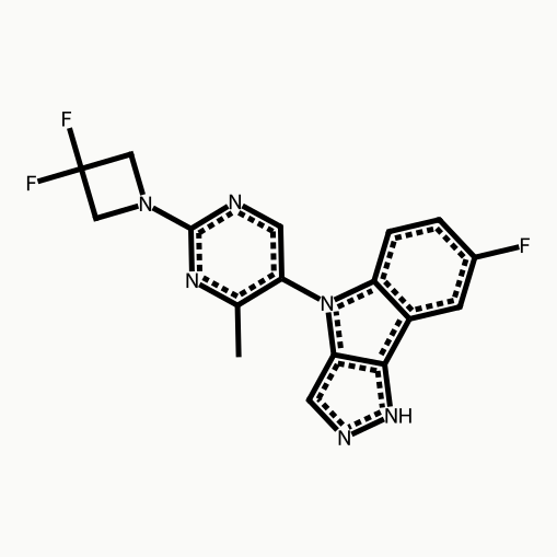 Cc1nc(N2CC(F)(F)C2)ncc1-n1c2ccc(F)cc2c2[nH]ncc21